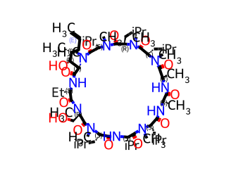 C/C=C/C[C@@H](C)[C@@H](O)[C@H]1C(=O)N[C@@H](CC)C(=O)N(C)[C@H](CO)C(=O)N(C)[C@@H](CC(C)C)C(=O)N[C@@H](C(C)C)C(=O)N(C)[C@@H](CC(C)C)C(=O)N[C@@H](C)C(=O)N[C@H](C)C(=O)N(C)[C@@H](CC(C)C)C(=O)N(C)[C@H](CC(C)C)C(=O)N(C)[C@@H](C(C)C)C(=O)N1C